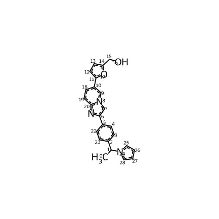 CC(c1ccc(-c2cn3cc(-c4ccc(CO)o4)ccc3n2)cc1)n1cccc1